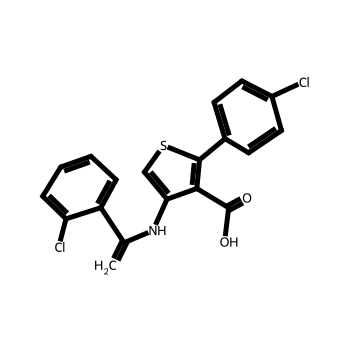 C=C(Nc1csc(-c2ccc(Cl)cc2)c1C(=O)O)c1ccccc1Cl